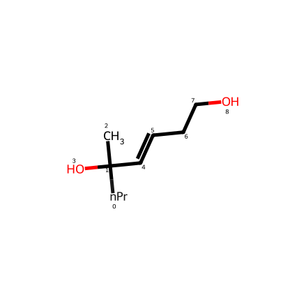 CCCC(C)(O)C=CCCO